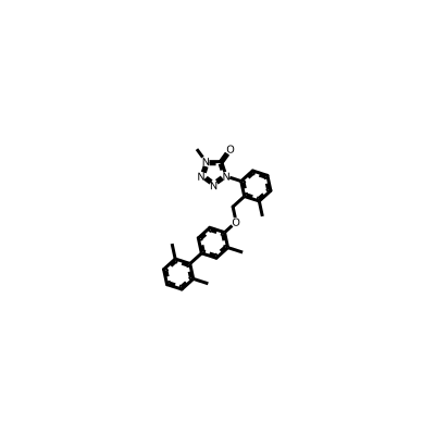 Cc1cc(-c2c(C)cccc2C)ccc1OCc1c(C)cccc1-n1nnn(C)c1=O